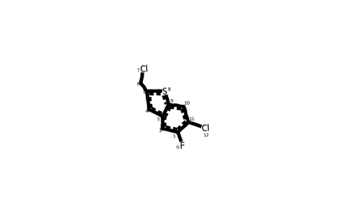 Fc1cc2cc(CCl)sc2cc1Cl